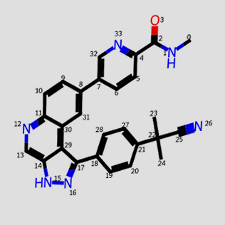 CNC(=O)c1ccc(-c2ccc3ncc4[nH]nc(-c5ccc(C(C)(C)C#N)cc5)c4c3c2)cn1